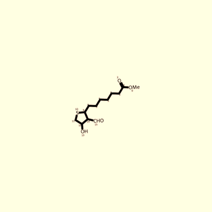 COC(=O)CCCCCCC1SCC(O)C1C=O